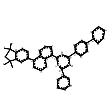 CC1(C)CC(C)(C)c2cc(-c3cccc4c(-c5nc(-c6ccccc6)nc(-c6ccc(-c7ccccc7)cc6)n5)cccc34)ccc21